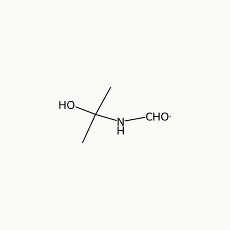 CC(C)(O)N[C]=O